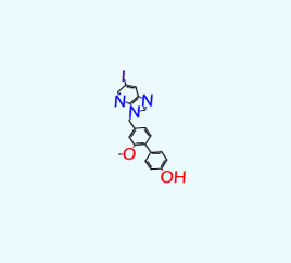 COc1cc(Cn2cnc3cc(I)cnc32)ccc1-c1ccc(O)cc1